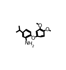 COc1ccc(Oc2ccc(C(C)C)cc2N)cc1OC